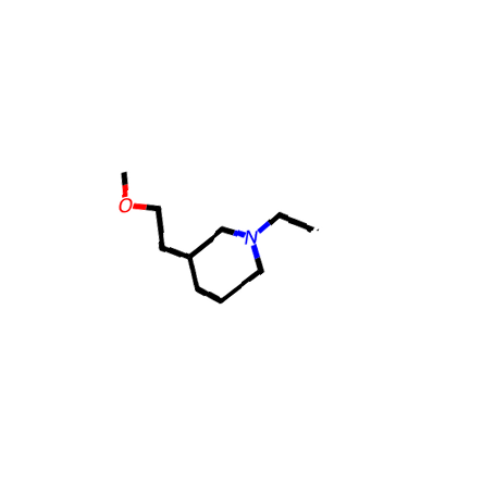 [CH2]CN1CCCC(CCOC)C1